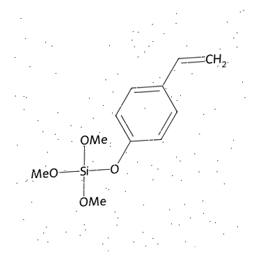 C=Cc1ccc(O[Si](OC)(OC)OC)cc1